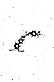 COc1ccc(-c2cn3nc(NCCc4ccc(S(N)(=O)=O)cc4)sc3n2)cc1OC